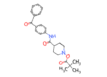 CC(C)(C)C(=O)ON1CCC(C(=O)Nc2ccc(C(=O)c3ccccc3)cc2)CC1